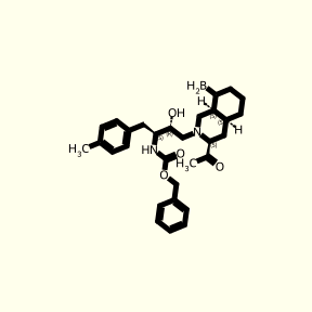 BC1CCC[C@H]2C[C@@H](C(C)=O)N(C[C@@H](O)[C@H](Cc3ccc(C)cc3)NC(=O)OCc3ccccc3)C[C@@H]12